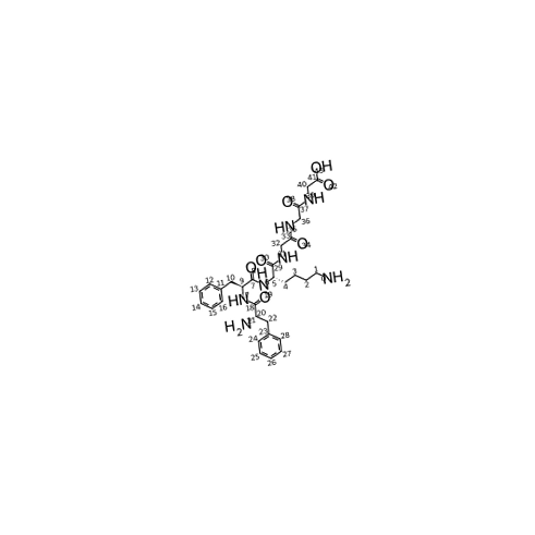 NCCCC[C@H](NC(=O)[C@H](Cc1ccccc1)NC(=O)[C@@H](N)Cc1ccccc1)C(=O)NCC(=O)NCC(=O)NCC(=O)O